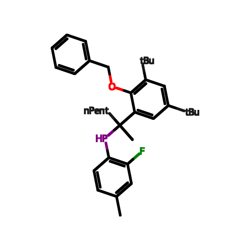 CCCCCC(C)(Pc1ccc(C)cc1F)c1cc(C(C)(C)C)cc(C(C)(C)C)c1OCc1ccccc1